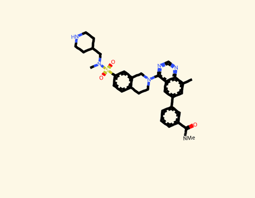 CNC(=O)c1cccc(-c2cc(C)c3ncnc(N4CCc5ccc(S(=O)(=O)N(C)CC6CCNCC6)cc5C4)c3c2)c1